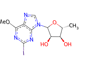 COc1nc(I)nc2c1ncn2C1O[C@H](C)[C@@H](O)[C@H]1O